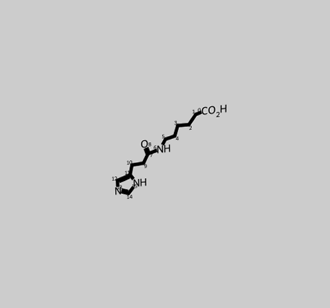 O=C(O)CCCCCNC(=O)CCc1cnc[nH]1